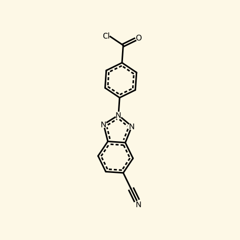 N#Cc1ccc2nn(-c3ccc(C(=O)Cl)cc3)nc2c1